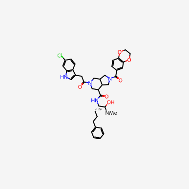 CNC(O)[C@H](CCCc1ccccc1)NC(=O)C1CN(C(=O)Cc2c[nH]c3cc(Cl)ccc23)CC2CN(C(=O)c3ccc4c(c3)OCCO4)CC21